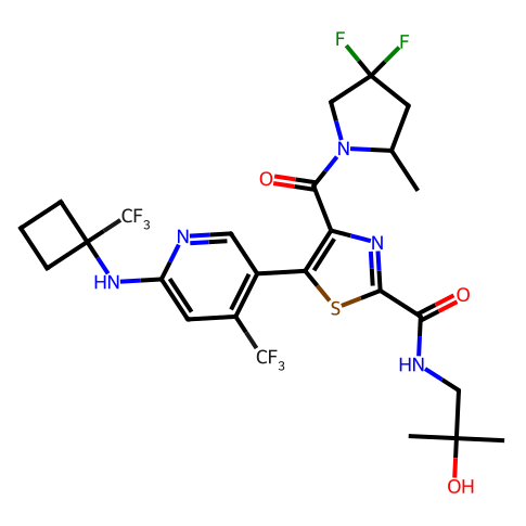 CC1CC(F)(F)CN1C(=O)c1nc(C(=O)NCC(C)(C)O)sc1-c1cnc(NC2(C(F)(F)F)CCC2)cc1C(F)(F)F